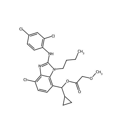 CCCCn1c(Nc2ccc(Cl)cc2Cl)nc2c(Cl)ccc(C(OC(=O)COC)C3CC3)c21